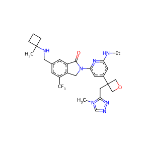 CCNc1cc(C2(Cc3nncn3C)COC2)cc(N2Cc3c(cc(CNC4(C)CCC4)cc3C(F)(F)F)C2=O)n1